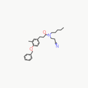 CCCCCN(CCC#N)C(=O)CCc1ccc(OCc2ccccc2)c(C)c1